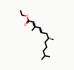 CCOC(=O)/C=C(C)/C=C/C[C@@H](C)CCCC(C)C